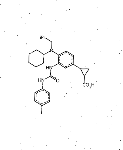 Cc1ccc(NC(=O)Nc2cc(C3CC3C(=O)O)ccc2N(CC(C)C)C2CCCCC2)cc1